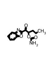 CCCC(OC(N)=O)C(=O)c1nc2ccccc2o1